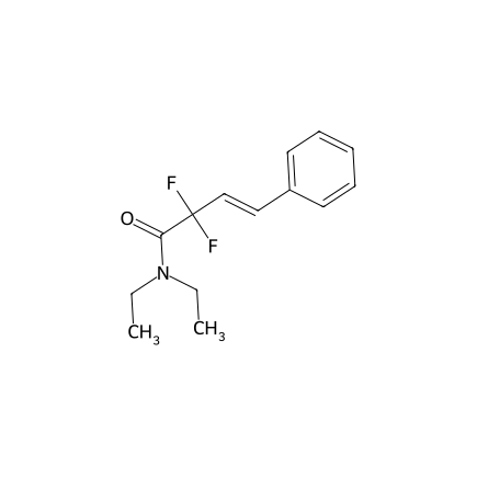 CCN(CC)C(=O)C(F)(F)C=Cc1ccccc1